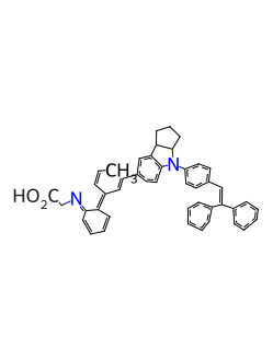 C\C=C/C(/C=C/c1ccc2c(c1)C1CCCC1N2c1ccc(C=C(c2ccccc2)c2ccccc2)cc1)=C1/C=CC=C/C1=N\CC(=O)O